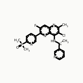 Cc1nc2cc(F)c(-c3ccc(P(C)(C)=O)nc3)nc2c(N[C@H](C)c2cccnc2)c1Cl